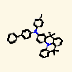 Cc1ccc(N(c2ccc(-c3ccccc3)cc2)c2ccc3c(c2)C(C)(C)c2cccc4c2N3c2ccccc2C4(C)C)cc1